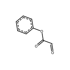 O=[C]C(=O)Oc1ccccc1